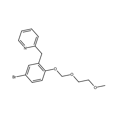 COCCOCOc1ccc(Br)cc1Cc1ccccn1